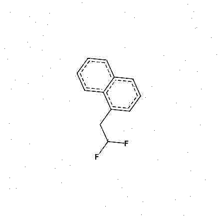 F[C](F)Cc1cccc2ccccc12